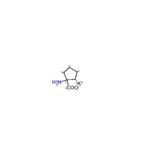 NC1(C(=O)[O-])CCCC1.[K+]